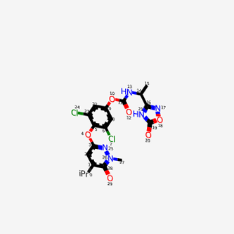 CC(C)c1cc(Oc2c(Cl)cc(OC(=O)NC(C)c3noc(=O)[nH]3)cc2Cl)nn(C)c1=O